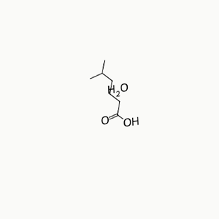 CC(C)CCCC(=O)O.O